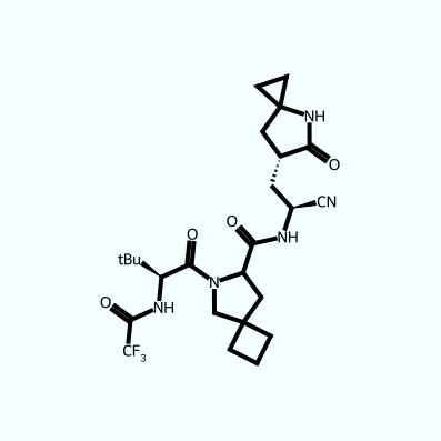 CC(C)(C)[C@H](NC(=O)C(F)(F)F)C(=O)N1CC2(CCC2)CC1C(=O)N[C@H](C#N)C[C@@H]1CC2(CC2)NC1=O